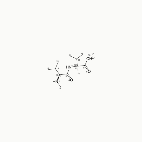 CN[C@H](C(=O)N[C@](C)(C(=O)O)C(C)C)C(C)C.[Li]